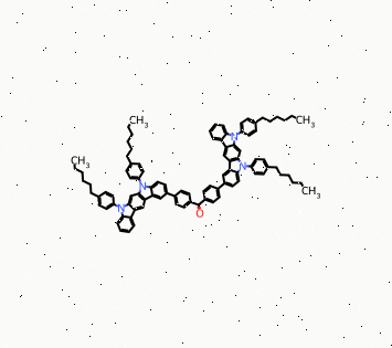 CCCCCCc1ccc(-n2c3ccccc3c3cc4c5cc(-c6ccc(C(=O)c7ccc(-c8ccc9c(c8)c8cc%10c%11ccccc%11n(-c%11ccc(CCCCCC)cc%11)c%10cc8n9-c8ccc(CCCCCC)cc8)cc7)cc6)ccc5n(-c5ccc(CCCCCC)cc5)c4cc32)cc1